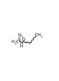 CCCCC/C=C\C=C\C(=O)NC(C)C